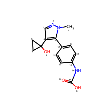 Cn1ncc(C2(O)CC2)c1-c1ccc(NC(=O)O)cc1